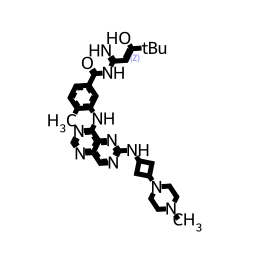 Cc1ccc(C(=O)NC(=N)/C=C(\O)C(C)(C)C)cc1Nc1ncnc2cnc(NC3CC(N4CCN(C)CC4)C3)nc12